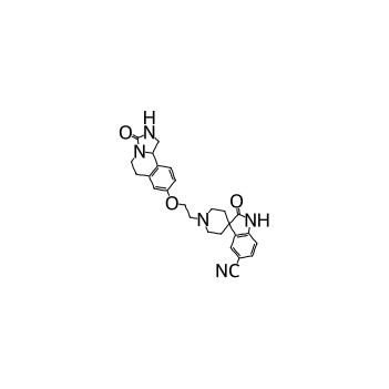 N#Cc1ccc2c(c1)C1(CCN(CCOc3ccc4c(c3)CCN3C(=O)NCC43)CC1)C(=O)N2